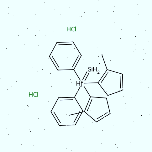 CC1=[C]([Hf](=[SiH2])([C]2=C(C)C=CC2)([c]2ccccc2)[c]2ccccc2)CC=C1.Cl.Cl